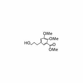 COC(=O)c1cc(CCCO)cc(OC)c1OC